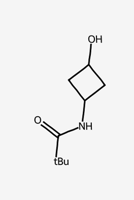 CC(C)(C)C(=O)NC1CC(O)C1